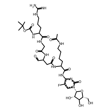 CC(=O)NCCCCC(NC(=O)CC(C=O)NC(=O)CNC(=O)C(CCCNC(=N)N)NC(=O)OC(C)(C)C)C(=O)Nc1nc(=O)n([C@@H]2O[C@H](CO)C(O)[C@@H]2O)cc1F